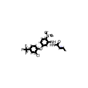 C/C=C/C(=O)NNc1cc(Oc2ccc(C(F)(F)F)cc2Cl)ccc1[N+](=O)[O-]